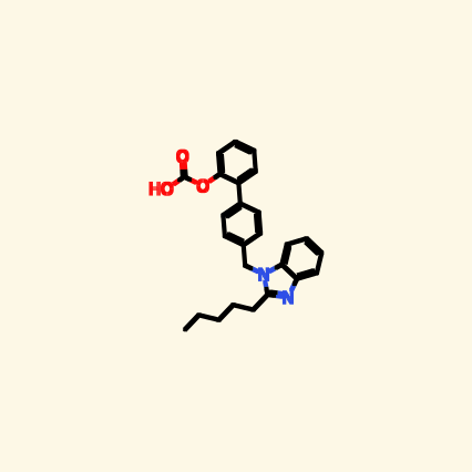 CCCCCc1nc2ccccc2n1Cc1ccc(-c2ccccc2OC(=O)O)cc1